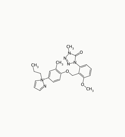 CCC[N+]1(c2ccc(OCc3c(OC)cccc3-n3nnn(C)c3=O)c(C)c2)C=CC=N1